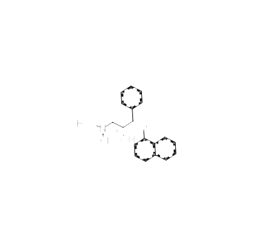 CN(C)C[C@@H](O)[C@@H](Oc1cccc2ccccc12)c1ccccc1